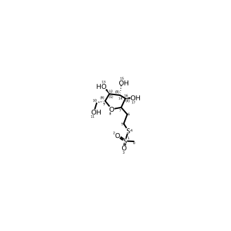 CS(=O)(=O)SCCC1O[C@H](CO)[C@@H](O)[C@H](O)[C@H]1O